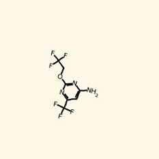 Nc1cc(C(F)(F)F)nc(OCC(F)(F)F)n1